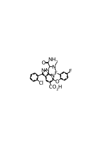 CN(C)C(C(N)=O)n1nc(-c2ccccc2Cl)c2cc(C(=O)O)c(Oc3ccc(F)cc3F)nc21